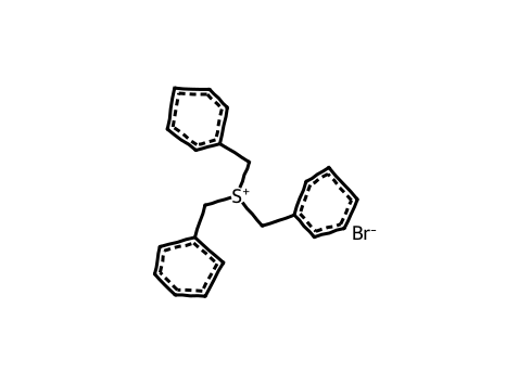 [Br-].c1ccc(C[S+](Cc2ccccc2)Cc2ccccc2)cc1